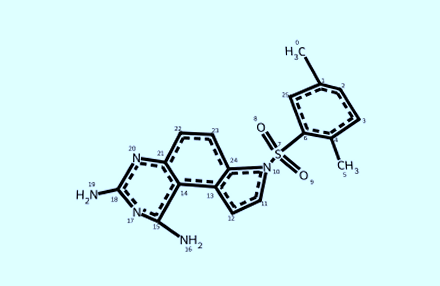 Cc1ccc(C)c(S(=O)(=O)n2ccc3c4c(N)nc(N)nc4ccc32)c1